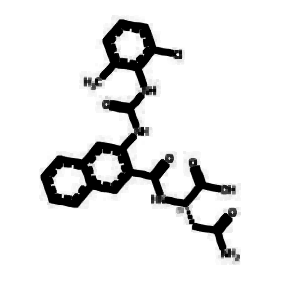 Cc1cccc(Cl)c1NC(=O)Nc1cc2ccccc2cc1C(=O)N[C@@H](CC(N)=O)C(=O)O